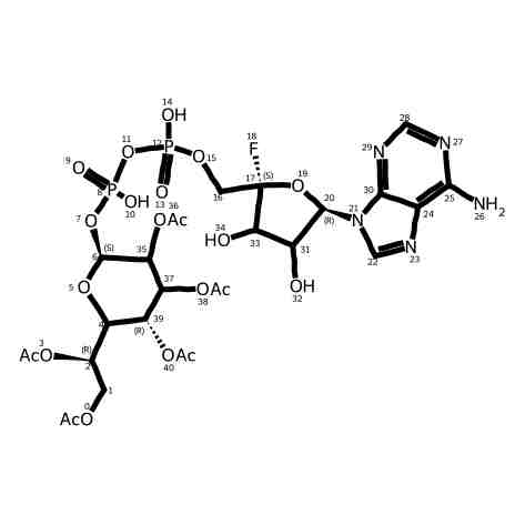 CC(=O)OC[C@@H](OC(C)=O)C1O[C@@H](OP(=O)(O)OP(=O)(O)OC[C@@]2(F)O[C@@H](n3cnc4c(N)ncnc43)C(O)C2O)C(OC(C)=O)C(OC(C)=O)[C@@H]1OC(C)=O